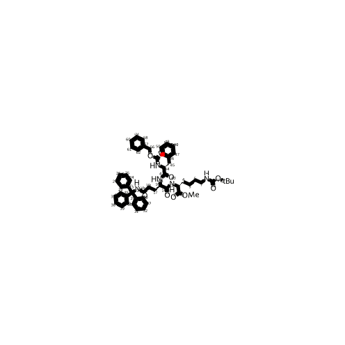 COC(=O)[C@@H](CCCCNC(=O)OC(C)(C)C)NC(=O)[C@@H](CCC(=O)NC(c1ccccc1)(c1ccccc1)c1ccccc1)NC(=O)[C@@H](Cc1ccccc1)NC(=O)OCc1ccccc1